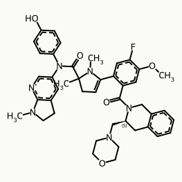 COc1cc(C(=O)N2Cc3ccccc3C[C@H]2CN2CCOCC2)c(C2=CCC(C)(C(=O)N(c3ccc(O)cc3)c3cnc4c(c3)CCN4C)N2C)cc1F